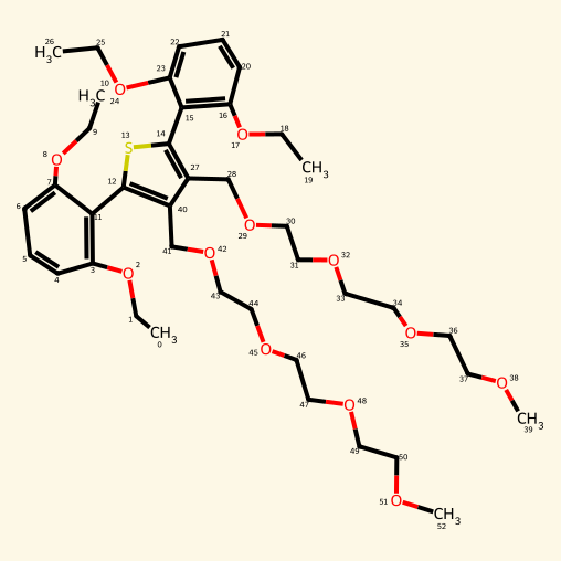 CCOc1cccc(OCC)c1-c1sc(-c2c(OCC)cccc2OCC)c(COCCOCCOCCOC)c1COCCOCCOCCOC